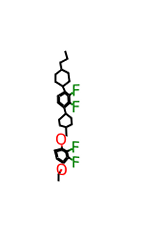 CCCC1CCC(c2ccc(C3CCC(COc4ccc(OCC)c(F)c4F)CC3)c(F)c2F)CC1